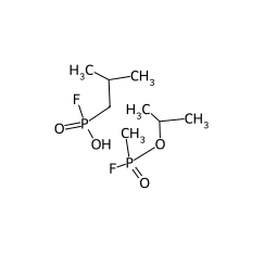 CC(C)CP(=O)(O)F.CC(C)OP(C)(=O)F